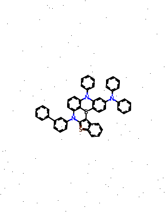 c1ccc(-c2cccc(N3c4cccc5c4B(c4ccc(N(c6ccccc6)c6ccccc6)cc4N5c4ccccc4)c4c3sc3ccccc43)c2)cc1